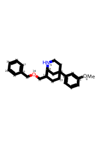 COc1cccc(C23CCNC(C2)C(COCc2ccccc2)CC3)c1